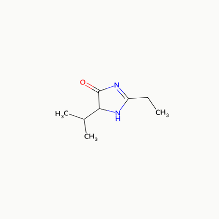 CCC1=NC(=O)C(C(C)C)N1